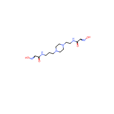 O=C(/C=N/O)NCCCN1CCN(CCNC(=O)/C=N/O)CC1